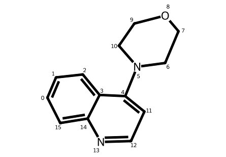 c1ccc2c(N3CCOCC3)ccnc2c1